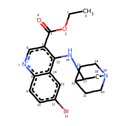 CCOC(=O)c1cnc2ccc(Br)cc2c1NC1CN2CCC1CC2